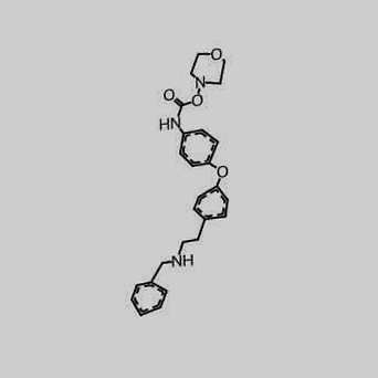 O=C(Nc1ccc(Oc2ccc(CCNCc3ccccc3)cc2)cc1)ON1CCOCC1